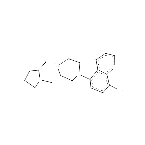 C[C@@H]1CN(c2ccc(C#N)c3ncccc23)C[C@H](CN2CCC[C@H]2C)O1